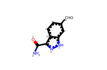 NC(=O)c1n[nH]c2cc(C=O)ccc12